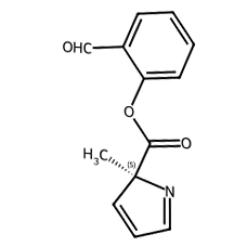 C[C@@]1(C(=O)Oc2ccccc2C=O)C=CC=N1